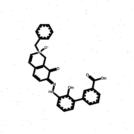 O=C1C(=NNc2cccc(-c3cccc(C(=O)O)c3)c2O)C=CC2=C1C[N+]([O-])(Cc1ccccc1)C=C2